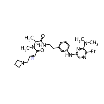 CCc1ncc(Nc2cccc(CCNC(=O)[C@H](C)N(C)C(=O)/C=C/CN3CCC3)c2)nc1N(C)C